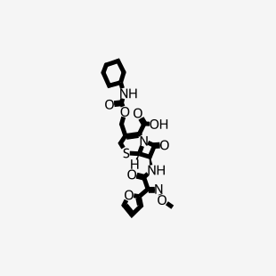 CON=C(C(=O)N[C@@H]1C(=O)N2C(C(=O)O)=C(COC(=O)NC3CCCCC3)CS[C@H]12)c1ccco1